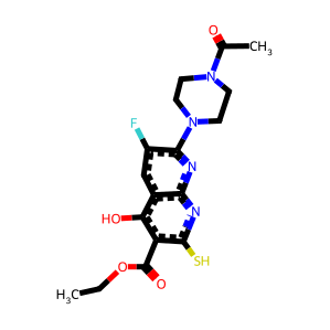 CCOC(=O)c1c(S)nc2nc(N3CCN(C(C)=O)CC3)c(F)cc2c1O